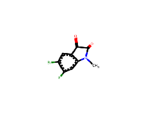 CN1C(=O)C(=O)c2cc(Br)c(F)cc21